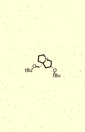 CC(C)(C)OC[C@]12CCCN1C[C@H](OC(C)(C)C)C2